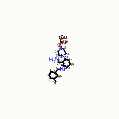 Cc1cccc(CNc2cccc(N3CCN(OC(=O)C(C)(C)C)CC3)c2CN)c1